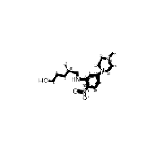 C[C@H](CCCO)CNc1cc(N2CCN(C)CC2)ccc1[N+](=O)[O-]